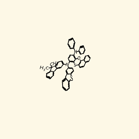 CC1(C)c2ccccc2-c2cc(N(c3ccc4sc5ccccc5c4c3)c3ccc(N(c4ccccc4)c4ccccc4)c4c3Sc3ccc5ccccc5c3O4)ccc21